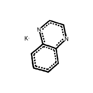 [K].c1ccc2nccnc2c1